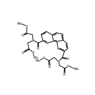 CC(C)(C)OC(=O)CN(CC(=O)OC(C)(C)C)C(=O)c1ccc2ccc3ccc(C(=O)N(CC(=O)OC(C)(C)C)CC(=O)OC(C)(C)C)nc3c2n1